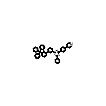 c1ccc(-c2nc(-c3ccc(-c4ccncc4)cc3)nc(-c3cccc(-c4cccc5c4-c4ccccc4C5(c4ccccc4)c4ccccc4)c3)n2)cc1